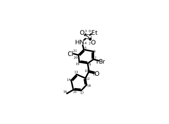 CCS(=O)(=O)Nc1cc(Br)c(C(=O)c2ccc(C)cc2)cc1Cl